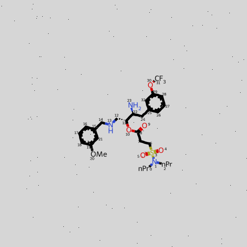 CCCN(CCC)S(=O)(=O)CCC(=O)O[C@H](CNCc1cccc(OC)c1)[C@@H](N)Cc1cccc(OC(F)(F)F)c1